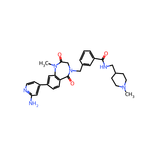 CN1CCC(CNC(=O)c2cccc(CN3CC(=O)N(C)c4cc(-c5ccnc(N)c5)ccc4C3=O)c2)CC1